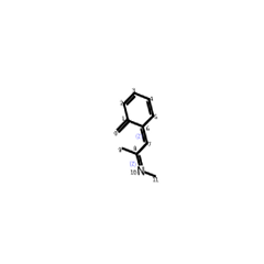 C=c1cccc/c1=C/C(C)=N\C